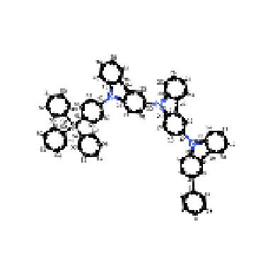 c1ccc(-c2ccc3c(c2)c2ccccc2n3-c2ccc3c(c2)c2ccccc2n3-c2ccc3c(c2)c2ccccc2n3-c2ccc([Si](c3ccccc3)(c3ccccc3)c3ccccc3)cc2)cc1